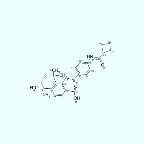 CC1(C)CCC(C)(C)c2c1ccc(C(=O)O)c2CCc1ccc(NC(=O)C2CCC2)cc1